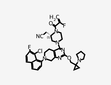 C=C(F)C(=O)N1CCN(c2nc(OCC3(N4CCCC4)CC3)nc3c2CCN(c2cccc4ccc(F)c(Cl)c24)C3)C[C@@H]1CC#N